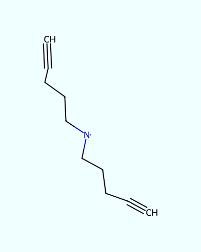 C#CCCC[N]CCCC#C